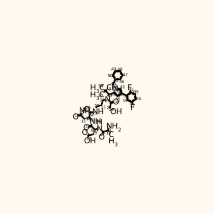 C[C@H](N)C(=O)N[C@@H](CC(=O)O)C(=O)N[C@@H](CC(N)=O)C(=O)NCCCN(C(=O)CO)[C@@H](c1cc(-c2cc(F)ccc2F)cn1Cc1ccccc1)C(C)(C)C